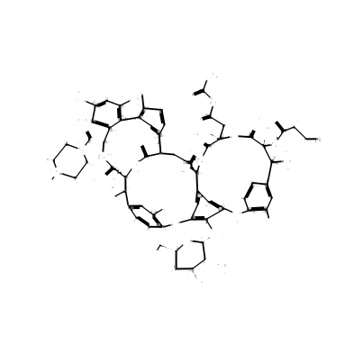 CCCCCCCCCC(=O)NC(=O)C[C@@H]1CC(=O)[C@H](NC(=O)[C@H](CC)CC(C)C)[C@H](O)c2ccc(c(Cl)c2)Oc2cc3cc(c2O[C@@H]2O[C@H](CO)[C@@H](O)[C@H](O)[C@H]2O)Oc2ccc(cc2Cl)[C@@H](O)[C@@H]2NC(=O)[C@H](CC(=O)[C@@H]3NC1=O)c1ccc(O)c(c1)-c1c(O)cc(O)cc1[C@@H](C(=O)N1CCN(C)CC1)NC2=O